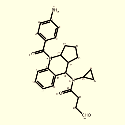 Bc1ccc(C(=O)N2c3ccccc3C(N(C(=O)CCC=O)C3CC3)C3CCCC32)cc1